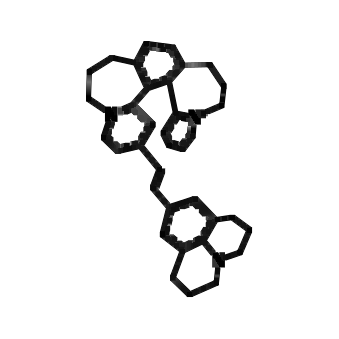 C(=C\c1cc[n+]2c(c1)-c1c(ccc3c1-c1cccc[n+]1CCC3)CCC2)/c1cc2c3c(c1)CCCN3CCC2